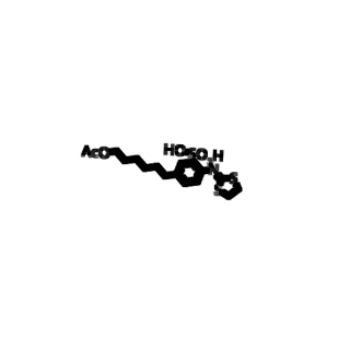 CC(=O)OCCCCCCc1ccc(N=C2SCCS2)cc1.O=S(=O)(O)O